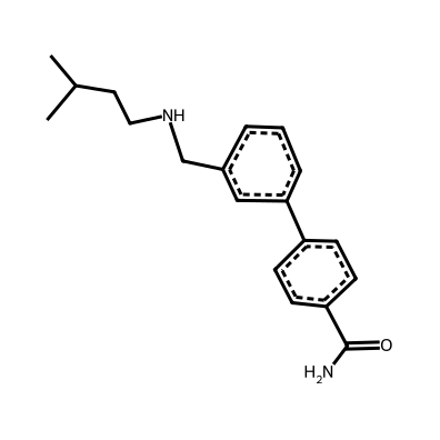 CC(C)CCNCc1cccc(-c2ccc(C(N)=O)cc2)c1